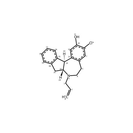 C=CCN1CCc2cc(Cl)c(O)cc2[C@@H]2c3ccccc3C[C@H]21